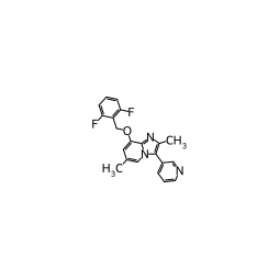 Cc1cc(OCc2c(F)cccc2F)c2nc(C)c(-c3cccnc3)n2c1